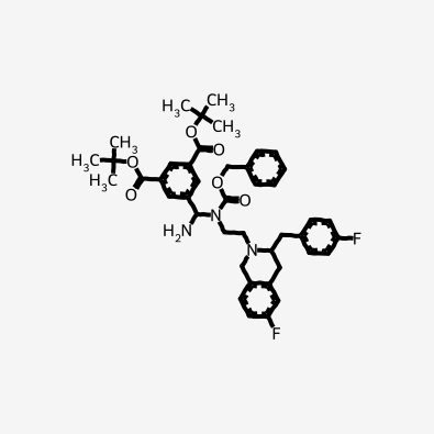 CC(C)(C)OC(=O)c1cc(C(=O)OC(C)(C)C)cc(C(N)N(CCN2Cc3ccc(F)cc3CC2Cc2ccc(F)cc2)C(=O)OCc2ccccc2)c1